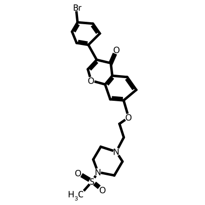 CS(=O)(=O)N1CCN(CCOc2ccc3c(=O)c(-c4ccc(Br)cc4)coc3c2)CC1